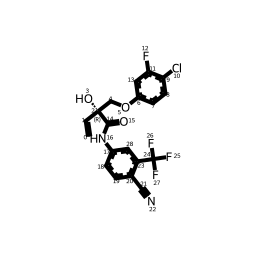 C=C[C@@](O)(COc1ccc(Cl)c(F)c1)C(=O)Nc1ccc(C#N)c(C(F)(F)F)c1